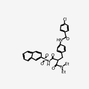 CCN(CC)C(=O)C(Cc1ccc(NC(=O)c2ccc(Cl)cc2)cc1)C(=O)NS(=O)(=O)c1ccc2ccccc2c1